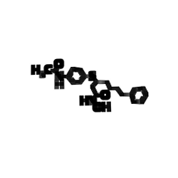 CC(=O)Nc1ccc(SC(CCCCc2ccccc2)CC(=O)NO)cc1